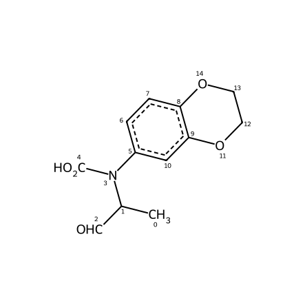 CC(C=O)N(C(=O)O)c1ccc2c(c1)OCCO2